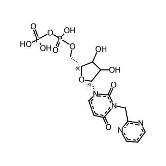 O=c1ccn([C@@H]2O[C@H](COP(=O)(O)OP(=O)(O)O)C(O)C2O)c(=O)n1Cc1ncccn1